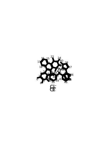 Cc1cc2c(c(C)c1C)C(C)c1c3c(c4ccccc4c1-2)C(C)C(C)C(C)[C]3(C)[Zr+2]([C]1=C(c2ccsc2)C=CC1C)=[C](c1ccccc1)c1ccccc1.[Cl-].[Cl-]